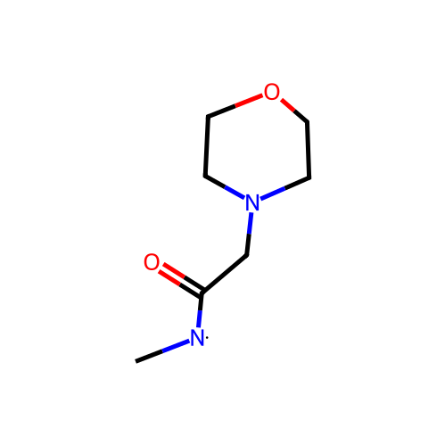 C[N]C(=O)CN1CCOCC1